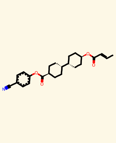 C/C=C/C(=O)O[C@H]1CC[C@H]([C@H]2CC[C@H](C(=O)Oc3ccc(C#N)cc3)CC2)CC1